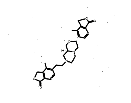 Cc1c(CCN2CCN3C[C@@H](c4ccc5c(c4C)COC5=O)OC[C@@H]3C2)ccc2c1COC2=O